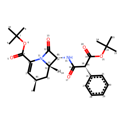 C[C@H]1C=C(C(=O)OC(C)(C)C)N2C(=O)[C@H](NC(=O)[C@H](C(=O)OC(C)(C)C)c3ccccc3)[C@@H]2C1